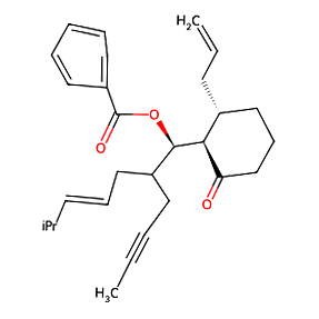 C=CC[C@@H]1CCCC(=O)[C@H]1[C@H](OC(=O)c1ccccc1)C(CC#CC)C/C=C/C(C)C